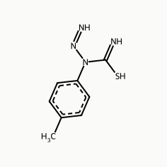 Cc1ccc(N(N=N)C(=N)S)cc1